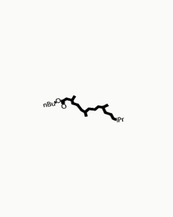 CCCCOC(=O)CC(C)CCCC(C)CCCC(C)CCCC(C)C